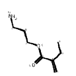 C=C(CC)C(=O)OCCCN